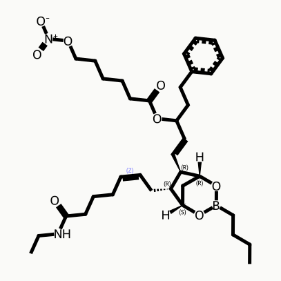 CCCCB1O[C@H]2C[C@@H](O1)[C@H](C=CC(CCc1ccccc1)OC(=O)CCCCCO[N+](=O)[O-])[C@H]2C/C=C\CCCC(=O)NCC